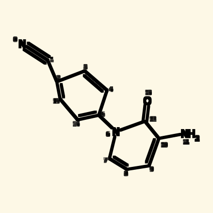 N#Cc1ccc(-n2cccc(N)c2=O)cc1